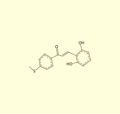 CSc1ccc(C(=O)C=Cc2c(O)cccc2O)cc1